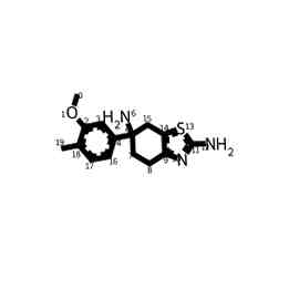 COc1cc(C2(N)CCc3nc(N)sc3C2)ccc1C